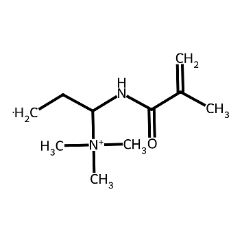 [CH2]CC(NC(=O)C(=C)C)[N+](C)(C)C